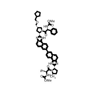 COC(=O)N[C@H](C(=O)N1[C@@H](C)CC[C@H]1c1nc2ccc3cc(-c4ccc5c(ccc6nc([C@@H]7C[C@H](COCC8CCCC8)CN7C(=O)[C@H](NC(=O)OC)c7ccccc7)[nH]c65)c4)ccc3c2[nH]1)C(C)C